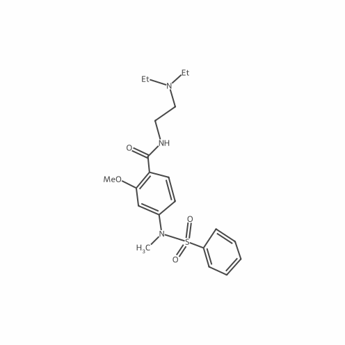 CCN(CC)CCNC(=O)c1ccc(N(C)S(=O)(=O)c2ccccc2)cc1OC